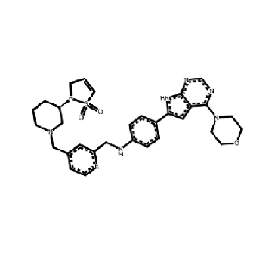 O=S1(=O)C=CCN1[C@@H]1CCCN(Cc2ccnc(CNc3ccc(-c4cc5c(N6CCOCC6)ncnc5[nH]4)cc3)c2)C1